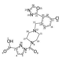 O=C(O)c1ccn(C(=O)N2CCN(Cc3ccc(Cl)cc3-c3nnco3)CC2)n1